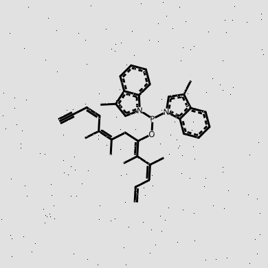 C#C/C=C\C(C)=C(\C)C/C(OP(n1cc(C)c2ccccc21)n1cc(C)c2ccccc21)=C(C)/C(C)=C\C=C